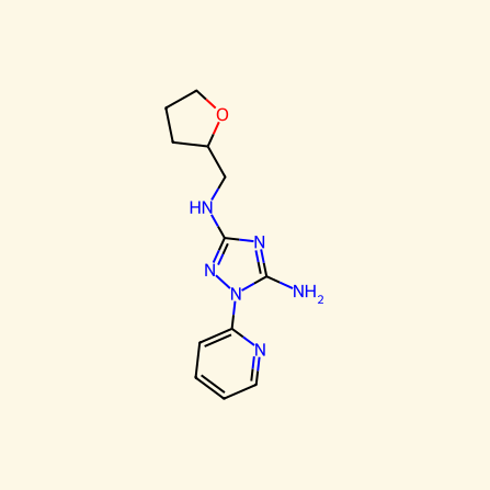 Nc1nc(NCC2CCCO2)nn1-c1ccccn1